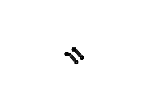 [O]=[Bi].[O]=[Ge]